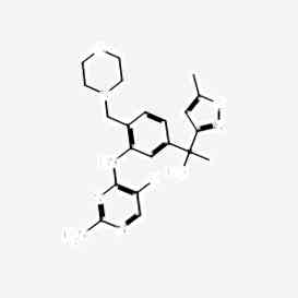 Cc1cc(C(C)(O)c2ccc(CN3CCOCC3)c(Nc3nc(N)ncc3Cl)c2)no1